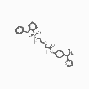 CN(C)C(c1cccs1)C1CCC(NC(=O)COCCNS(=O)(=O)c2ccccc2Cc2ccccc2)CC1